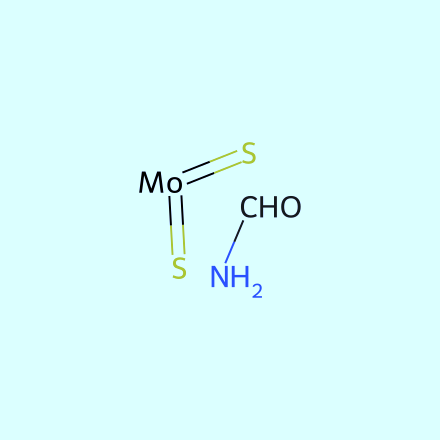 NC=O.[S]=[Mo]=[S]